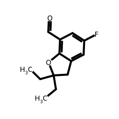 CCC1(CC)Cc2cc(F)cc(C=O)c2O1